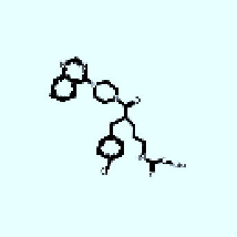 CC(C)(C)OC(=O)NCCCC(Cc1ccc(Cl)cc1)C(=O)N1CCN(c2ncnc3ccccc23)CC1